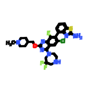 CN1CCC(COc2nc(N3CCNCC(F)(F)C3)c3cc(Cl)c(-c4cccc5sc(N)nc45)c(F)c3n2)CC1